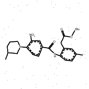 CC1CCCN(c2ccc(C(=O)Nc3ccc(F)cc3CC(=O)OC(C)(C)C)cc2[N+](=O)[O-])C1